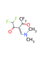 CN(C)/C=C(/C(=O)C(F)F)C(=O)C(F)(F)F